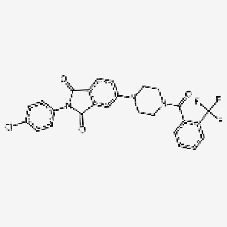 O=C(c1ccccc1C(F)(F)F)N1CCN(c2ccc3c(c2)C(=O)N(c2ccc(Cl)cc2)C3=O)CC1